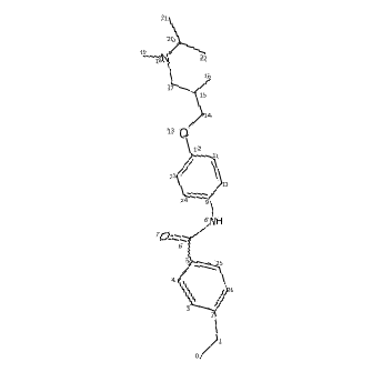 CCc1ccc(C(=O)Nc2ccc(OCC(C)CN(C)C(C)C)cc2)cc1